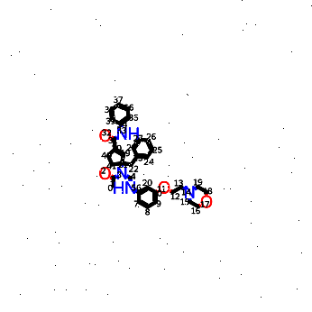 CC(=O)N(CNc1cccc(OCCN2CCOCC2)c1)C1(Cc2ccccc2)C=C(C(=O)Nc2ccccc2)CC1